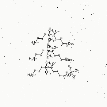 CCCCCCCCCCCCCC(=O)[N+](C)(C)CCCN.CCCCCCCCCCCCCC(=O)[N+](C)(C)CCCN.CCCCCCCCCCCCCC(=O)[N+](C)(C)CCCN.O=P([O-])([O-])[O-]